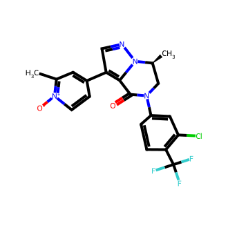 Cc1cc(-c2cnn3c2C(=O)N(c2ccc(C(F)(F)F)c(Cl)c2)C[C@@H]3C)cc[n+]1[O-]